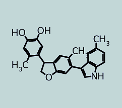 Cc1ccc2[nH]cc(-c3cc4c(cc3C)C(c3cc(O)c(O)cc3C)CO4)c2c1